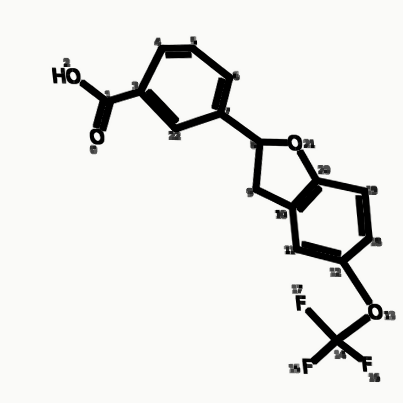 O=C(O)c1cccc(C2Cc3cc(OC(F)(F)F)ccc3O2)c1